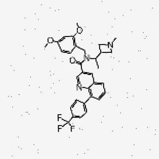 COc1ccc(CN(C(=O)c2cnc3c(-c4ccc(C(F)(F)F)cc4)cccc3c2)C(C)C2CN(C)C2)c(OC)c1